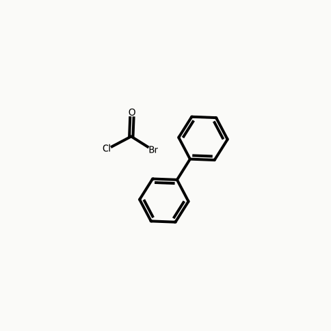 O=C(Cl)Br.c1ccc(-c2ccccc2)cc1